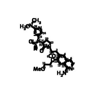 CCOC(=O)[C@@H](Cc1cc2ccnc(N)c2cc1OCCOC)N1CC[C@H](N(c2cnc(N(C)C)s2)[SH](=O)=O)C1=O